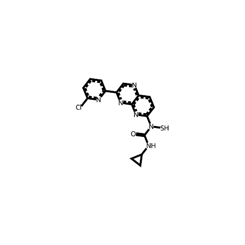 O=C(NC1CC1)N(S)c1ccc2ncc(-c3cccc(Cl)n3)nc2n1